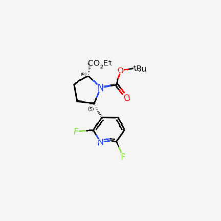 CCOC(=O)[C@H]1CC[C@@H](c2ccc(F)nc2F)N1C(=O)OC(C)(C)C